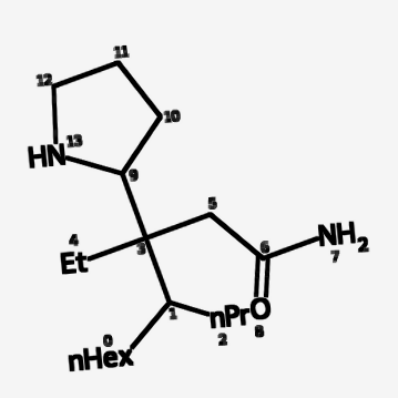 CCCCCCC(CCC)C(CC)(CC(N)=O)C1CCCN1